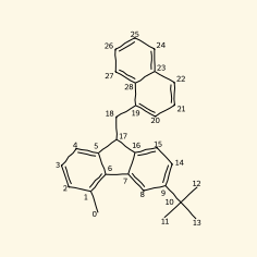 Cc1cccc2c1-c1cc(C(C)(C)C)ccc1C2Cc1cccc2ccccc12